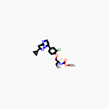 CC(C)C[C@@](C)(COc1ccc(-c2ccnc3cc(C4CC4)nn23)cc1Cl)NC(=O)OC(C)(C)C